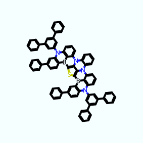 c1ccc(-c2cc(-c3ccccc3)cc(N3c4ccc(-c5ccccc5)cc4B4c5sc6c7c5N(c5ccccc5N7c5cccc7c5B6c5ccc(-c6ccccc6)cc5N7c5cc(-c6ccccc6)cc(-c6ccccc6)c5)c5cccc3c54)c2)cc1